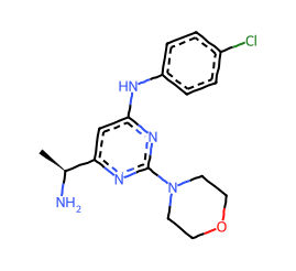 C[C@H](N)c1cc(Nc2ccc(Cl)cc2)nc(N2CCOCC2)n1